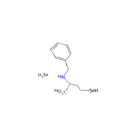 O=C(O)C(CC[SeH])NCc1ccccc1.[SeH2]